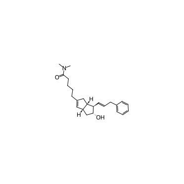 CN(C)C(=O)CCCCC1=C[C@H]2C[C@@H](O)[C@H](/C=C/Cc3ccccc3)[C@H]2C1